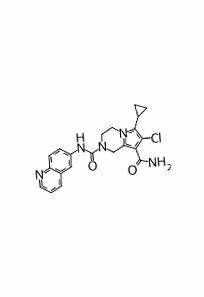 NC(=O)c1c(Cl)c(C2CC2)n2c1CN(C(=O)Nc1ccc3ncccc3c1)CC2